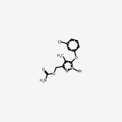 Cc1c(COC(N)=O)nn(C(C)C)c1Oc1cccc(Cl)c1